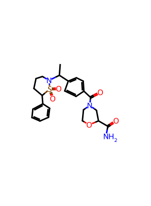 CC(c1ccc(C(=O)N2CCOC(C(N)=O)C2)cc1)N1CCCC(c2ccccc2)S1(=O)=O